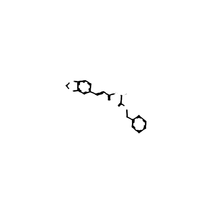 C[C@H](NC(=O)/C=C/c1ccc2c(c1)OCO2)C(=O)OCc1ccccc1